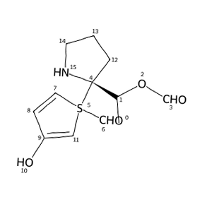 CC(OC=O)[C@]1(S2(C=O)C=CC(O)=C2)CCCN1